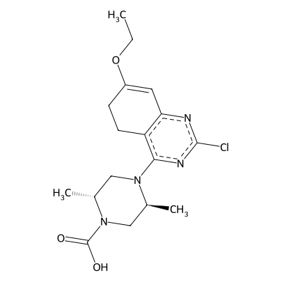 CCOC1=Cc2nc(Cl)nc(N3C[C@@H](C)N(C(=O)O)C[C@@H]3C)c2CC1